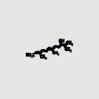 C=C(C)C(O)CC/C(C)=C/CC/C(C)=C/C(=O)O